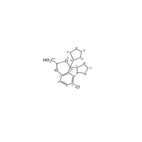 O=C(O)C1Oc2ccc(Cl)cc2C(C2CCCC2)(C2CCCC2)O1